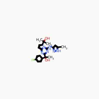 Cc1cc(Nc2nc(C(C)(O)c3ccc(F)cc3)nc3ccc(C(C)(C)O)n23)n[nH]1